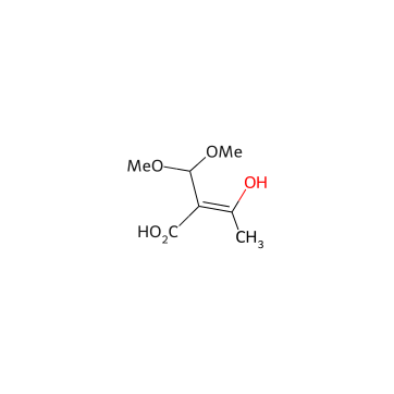 COC(OC)C(C(=O)O)=C(C)O